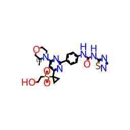 C[C@H]1COCCN1c1cc(C2(S(=O)(=O)CCO)CC2)nc(-c2ccc(NC(=O)Nc3ncns3)cc2)n1